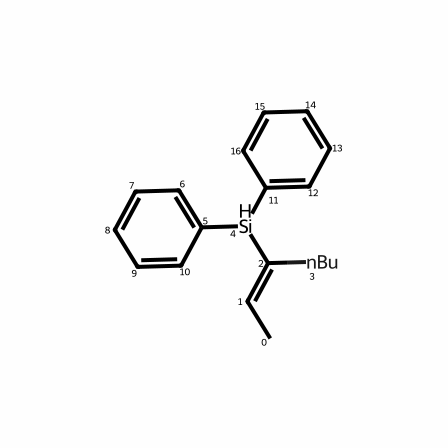 CC=C(CCCC)[SiH](c1ccccc1)c1ccccc1